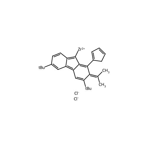 CC(C)=c1c(C(C)(C)C)cc2c(c1C1=CC=CC1)[C]([Zr+2])=c1ccc(C(C)(C)C)cc1=2.[Cl-].[Cl-]